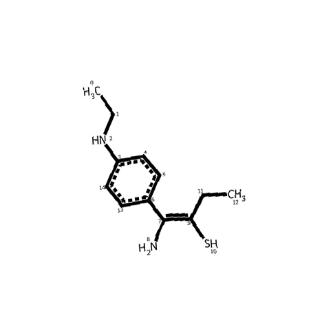 CCNc1ccc(/C(N)=C(/S)CC)cc1